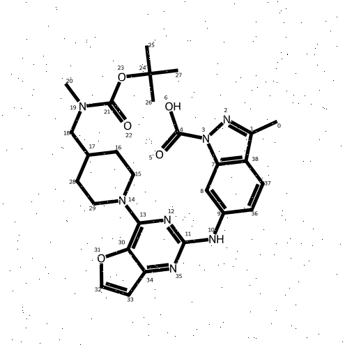 Cc1nn(C(=O)O)c2cc(Nc3nc(N4CCC(CN(C)C(=O)OC(C)(C)C)CC4)c4occc4n3)ccc12